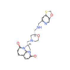 O=c1ccc2ccc(=O)n3c2n1C[C@H]3CN1CCO[C@@H](CNCc2cc3c(cn2)OCS3)C1